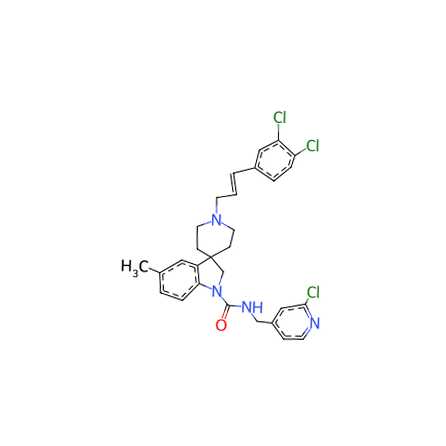 Cc1ccc2c(c1)C1(CCN(CC=Cc3ccc(Cl)c(Cl)c3)CC1)CN2C(=O)NCc1ccnc(Cl)c1